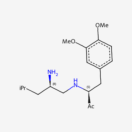 COc1ccc(C[C@H](NC[C@H](N)CC(C)C)C(C)=O)cc1OC